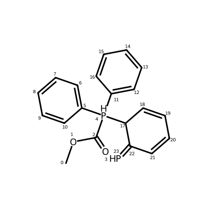 COC(=O)[PH](c1ccccc1)(c1ccccc1)C1C=CC=CC1=P